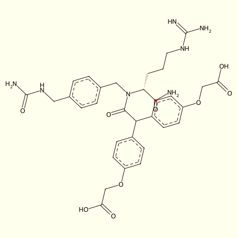 N=C(N)NCCC[C@H](C(N)=O)N(Cc1ccc(CNC(N)=O)cc1)C(=O)C(c1ccc(OCC(=O)O)cc1)c1ccc(OCC(=O)O)cc1